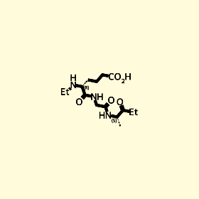 CCN[C@H](CCCC(=O)O)C(=O)NCC(=O)N[C@@H](C)C(=O)CC